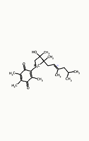 CC1=C(C)C(=O)C(CCC(C)(O)C(C)(C)C/C=C(\C)CC(C)C)=C(C)C1=O